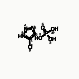 Clc1cnn[nH]1.O=P(O)(O)O